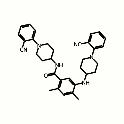 Cc1cc(C)c(C(=O)NC2CCN(c3ccccc3C#N)CC2)cc1NC1CCN(c2ccccc2C#N)CC1